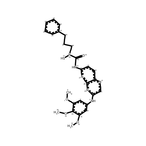 COc1cc(Nc2cnc3ccc(NC(=O)N(S)CCCc4ccccc4)nc3n2)cc(OC)c1OC